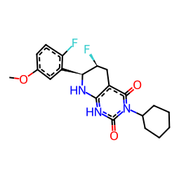 COc1ccc(F)c([C@@H]2Nc3[nH]c(=O)n(C4CCCCC4)c(=O)c3C[C@@H]2F)c1